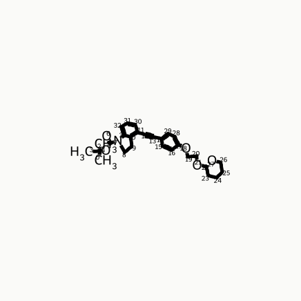 CC(C)(C)OC(=O)N1CCc2c(C#Cc3ccc(OCCOC4CCCCO4)cc3)cccc21